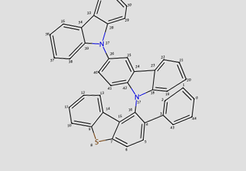 c1ccc(-c2ccc3sc4ccccc4c3c2-n2c3ccccc3c3cc(-n4c5ccccc5c5ccccc54)ccc32)cc1